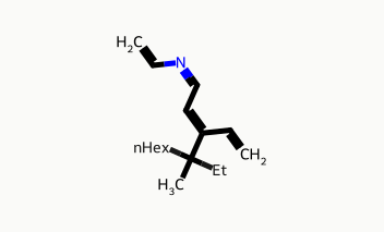 C=C/N=C\C=C(/C=C)C(C)(CC)CCCCCC